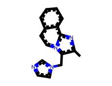 Cc1nc2c3ccccc3ccn2c1Cn1ccnc1